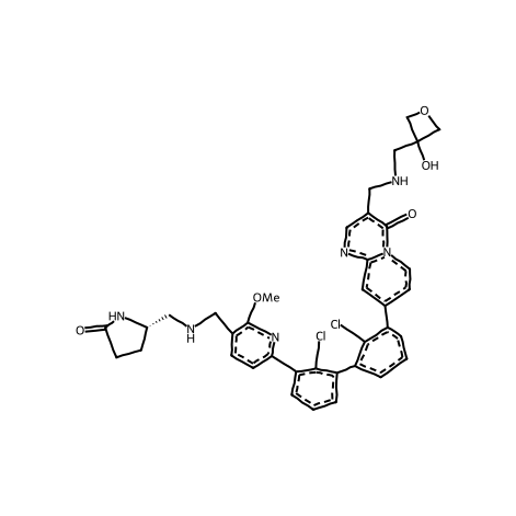 COc1nc(-c2cccc(-c3cccc(-c4ccn5c(=O)c(CNCC6(O)COC6)cnc5c4)c3Cl)c2Cl)ccc1CNC[C@@H]1CCC(=O)N1